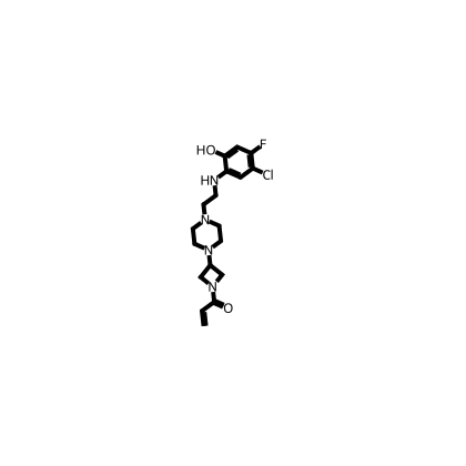 C=CC(=O)N1CC(N2CCN(CCNc3cc(Cl)c(F)cc3O)CC2)C1